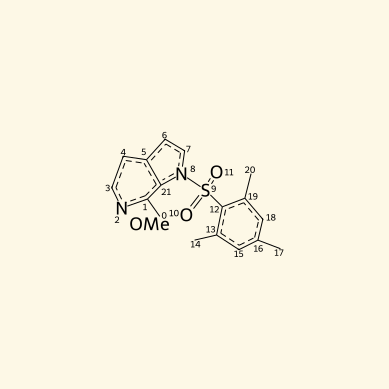 COc1nccc2ccn(S(=O)(=O)c3c(C)cc(C)cc3C)c12